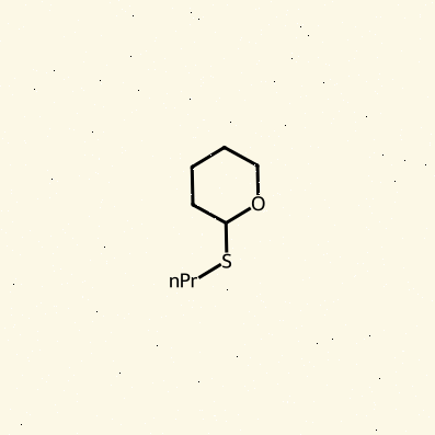 [CH2]CCSC1CCCCO1